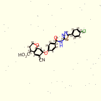 N#Cc1cc2c(cc1Oc1ccc(C(=O)Nc3nnc(-c4ccc(Cl)cc4)s3)cc1)OCCC2C(=O)O